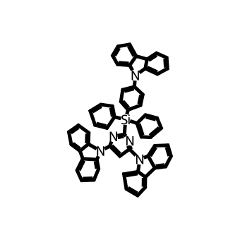 c1ccc([Si](c2ccccc2)(c2ccc(-n3c4ccccc4c4ccccc43)cc2)c2nc(-n3c4ccccc4c4ccccc43)cc(-n3c4ccccc4c4ccccc43)n2)cc1